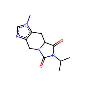 CC(C)N1C(=O)C2Cc3c(ncn3C)CN2C1=O